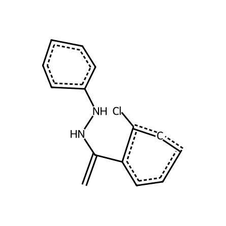 C=C(NNc1ccccc1)c1ccccc1Cl